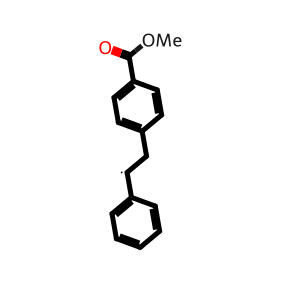 COC(=O)c1ccc(C[CH]c2ccccc2)cc1